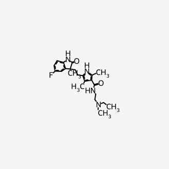 CCN(CC)CCNC(=O)c1c(C)[nH]c(CCC2(C)C(=O)Nc3ccc(F)cc32)c1C